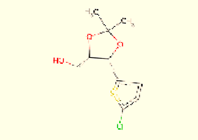 CC1(C)O[C@@H](CO)[C@@H](c2ccc(Cl)s2)O1